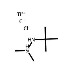 C[SiH](C)NC(C)(C)C.[Cl-].[Cl-].[Ti+2]